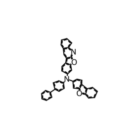 c1ccc(-c2ccc(N(c3ccc4c(c3)oc3ccccc34)c3ccc4c(c3)oc3nc5ccccc5cc34)cc2)cc1